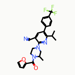 CC(C)c1nc(N2CCN(C(=O)c3ccco3)C(C)C2)c(C#N)cc1-c1ccc(C(F)(F)F)cc1